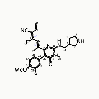 C=C/C(C#N)=C(F)\C=C(/C)c1nc(NCC2CCNC2)n(C)c(=O)c1-c1ccc(OC)c(F)c1